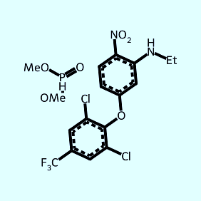 CCNc1cc(Oc2c(Cl)cc(C(F)(F)F)cc2Cl)ccc1[N+](=O)[O-].CO[PH](=O)OC